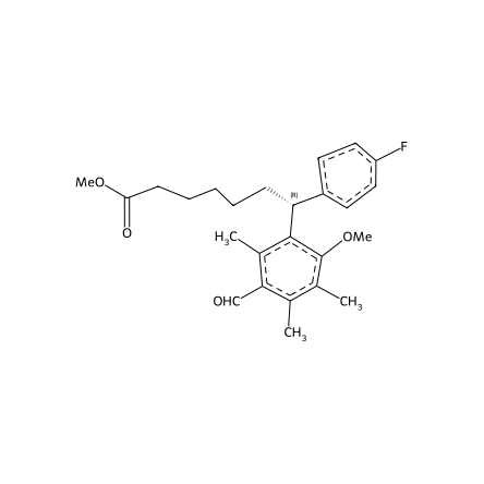 COC(=O)CCCCC[C@H](c1ccc(F)cc1)c1c(C)c(C=O)c(C)c(C)c1OC